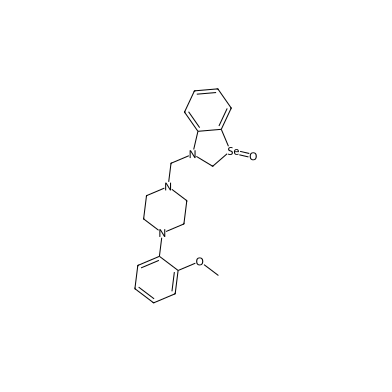 COc1ccccc1N1CCN(CN2C[Se](=O)c3ccccc32)CC1